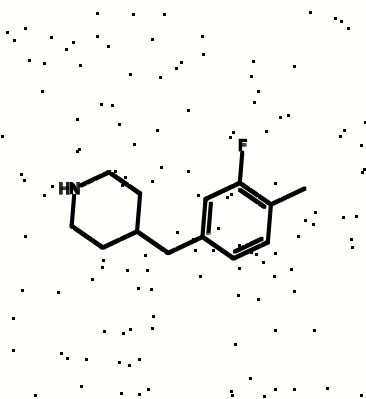 Cc1ccc(CC2CCNCC2)cc1F